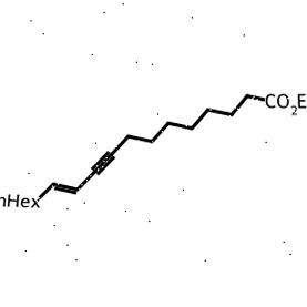 CCCCCC/C=C/C#CCCCCCCCC(=O)OCC